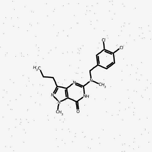 CCCc1nn(C)c2c(=O)[nH]c(N(C)Cc3ccc(Cl)c(Cl)c3)nc12